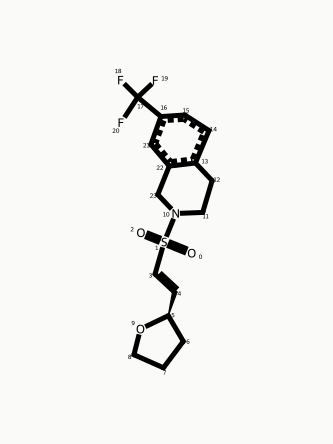 O=S(=O)(C=C[C@H]1CCCO1)N1CCc2ccc(C(F)(F)F)cc2C1